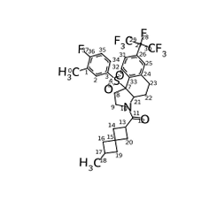 Cc1cc(S(=O)(=O)C23CCN(C(=O)C4CC5(CC(C)C5)C4)C2CCc2cc(C(F)(C(F)(F)F)C(F)(F)F)ccc23)ccc1F